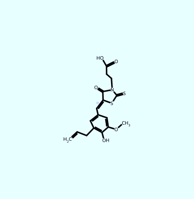 C=CCc1cc(/C=C2\SC(=S)N(CCC(=O)O)C2=O)cc(OC)c1O